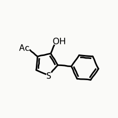 CC(=O)c1csc(-c2ccccc2)c1O